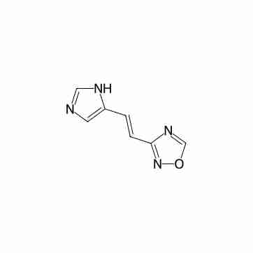 C(=C\c1cnc[nH]1)/c1ncon1